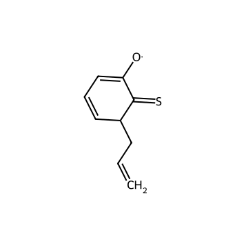 C=CCC1C=CC=C([O])C1=S